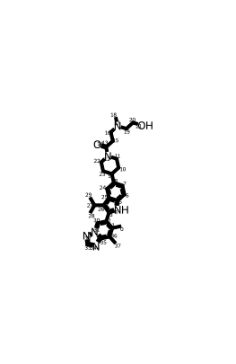 Cc1c(-c2[nH]c3ccc(C4CCN(C(=O)CCN(C)CCO)CC4)cc3c2C(C)C)cn2ncnc2c1C